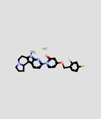 Cl.Cn1c2c(c3ccc(-n4ccc(OCc5ccc(F)cc5F)cc4=O)nc31)C1CCCN1CC2